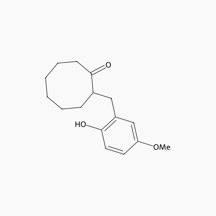 COc1ccc(O)c(CC2CCCCCCC2=O)c1